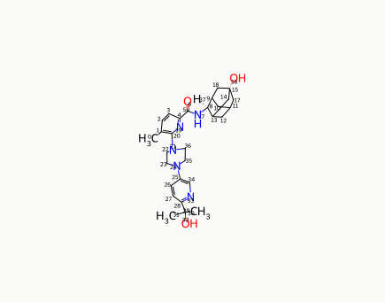 Cc1ccc(C(=O)N[C@H]2C3CC4CC2C[C@](O)(C4)C3)nc1N1CCN(c2ccc(C(C)(C)O)nc2)CC1